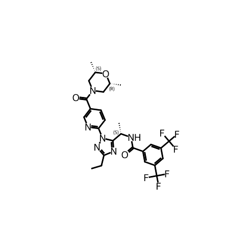 CCc1nc([C@H](C)NC(=O)c2cc(C(F)(F)F)cc(C(F)(F)F)c2)n(-c2ccc(C(=O)N3C[C@@H](C)O[C@@H](C)C3)cn2)n1